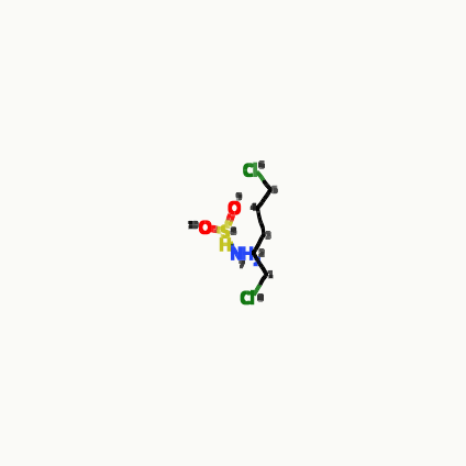 ClCCCCCCl.N[SH](=O)=O